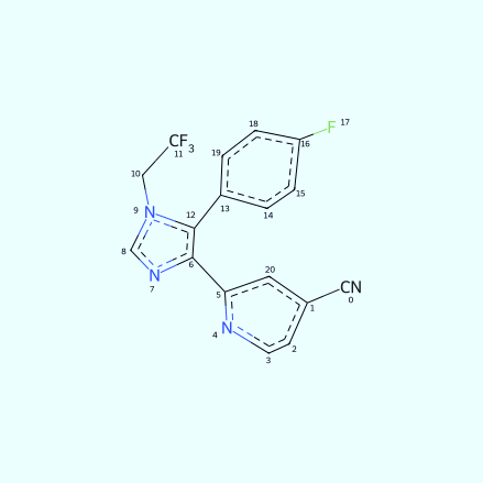 N#Cc1ccnc(-c2ncn(CC(F)(F)F)c2-c2ccc(F)cc2)c1